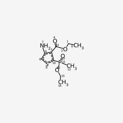 CCOC(=O)c1c(N)csc1P(C)(=O)OCC